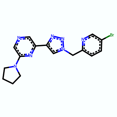 Brc1ccc(Cn2cc(-c3cncc(N4CCCC4)n3)nn2)nc1